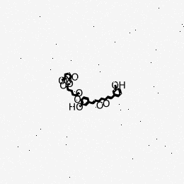 O=C(/C=C/c1cccc(O)c1)CC(=O)/C=C/c1ccc(OC(=O)CCCC(=O)ON2C(=O)CCC2=O)c(O)c1